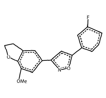 COc1cc(-c2cc(-c3cccc(F)c3)on2)cc2c1OCC2